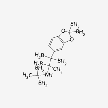 BC(B)(C)NC(B)(C)C(B)(B)c1ccc2c(c1)OC(B)(B)O2